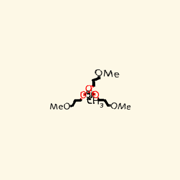 COCCCO[Si](C)(OCCCOC)OCCCOC